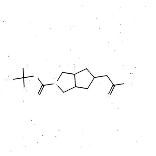 CC(C)(C)OC(=O)N1CC2CC(CC(=O)O)C[C@@H]2C1